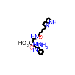 Nc1c(C(=O)N[C@@H](CCNC(=O)CCCCc2ccc3c(n2)NCCC3)C(=O)O)[nH]c2ccccc12